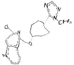 Cn1ncnc1[C@H]1CC[C@@H](Oc2nc(Cl)cc3ncccc23)CC1